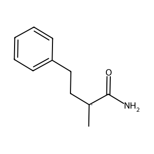 C[C](CCc1ccccc1)C(N)=O